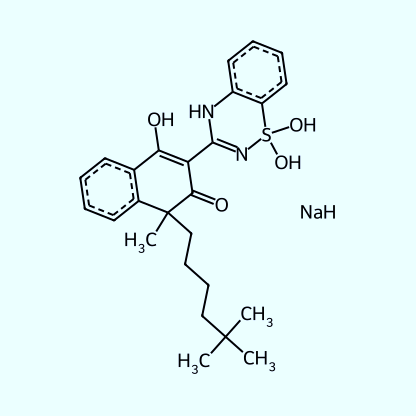 CC(C)(C)CCCCC1(C)C(=O)C(C2=NS(O)(O)c3ccccc3N2)=C(O)c2ccccc21.[NaH]